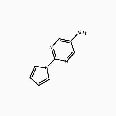 [SnH][c]1cnc(-n2cccc2)nc1